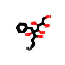 C=CCC(O)[C@@](O)(Cc1ccccc1)[C@@H](O)[C@H](O)[C@H](O)CO